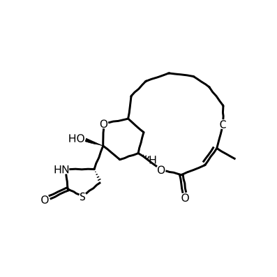 C/C1=C/C(=O)O[C@@H]2CC(CCCCCCC1)O[C@@](O)([C@@H]1CSC(=O)N1)C2